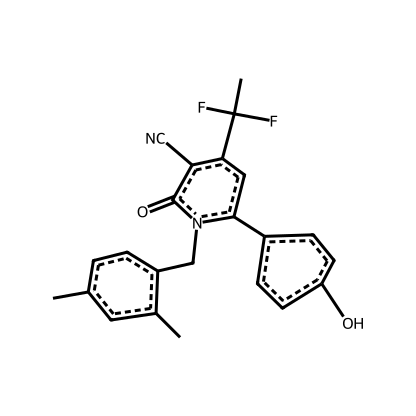 Cc1ccc(Cn2c(-c3ccc(O)cc3)cc(C(C)(F)F)c(C#N)c2=O)c(C)c1